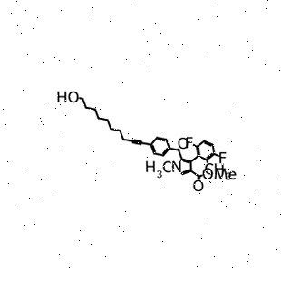 COC(=O)c1cn(C)c(C(=O)c2ccc(C#CCCCCCCCCO)cc2)c1-c1c(F)ccc(F)c1C